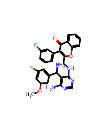 COC1C=C(F)C=C(C(N)c2c(N)ncnc2NCc2oc3ccccc3c(=O)c2-c2cccc(F)c2)C1